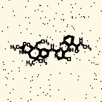 CCN1C(=O)C(NC(C)=O)CC(C)(C)c2ccc(Nc3ncc(Cl)c(Nc4c(F)cccc4C(=O)NC)n3)cc21